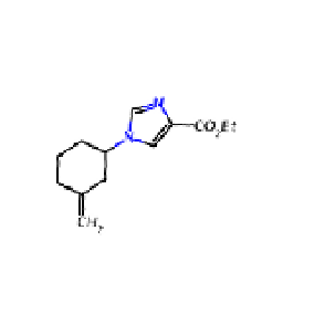 C=C1CCCC(n2cnc(C(=O)OCC)c2)C1